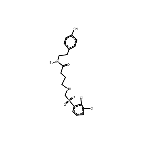 CCN(CCc1ccc(C#N)cc1)C(=O)CCCNCS(=O)(=O)c1cccc(Cl)c1Cl